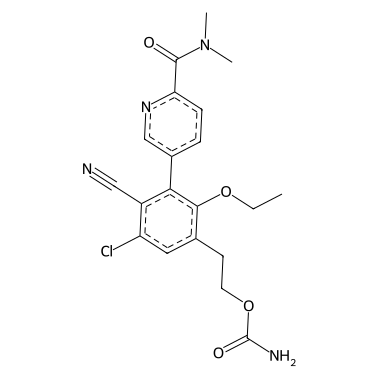 CCOc1c(CCOC(N)=O)cc(Cl)c(C#N)c1-c1ccc(C(=O)N(C)C)nc1